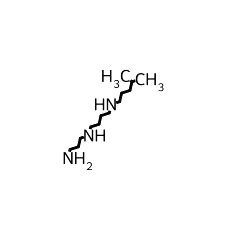 CC(C)CCCNCCCCNCCCN